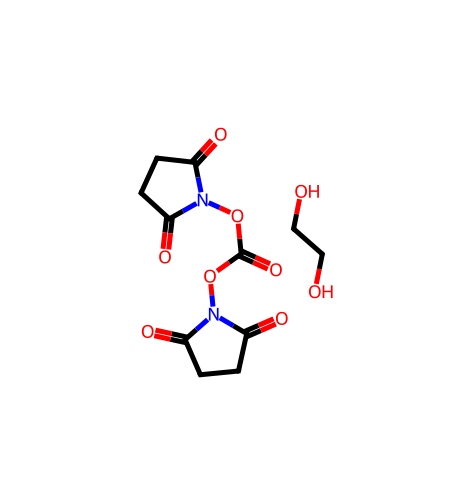 O=C(ON1C(=O)CCC1=O)ON1C(=O)CCC1=O.OCCO